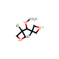 CCC1(C(OC(=O)O)C2(CC)COC2)COC1